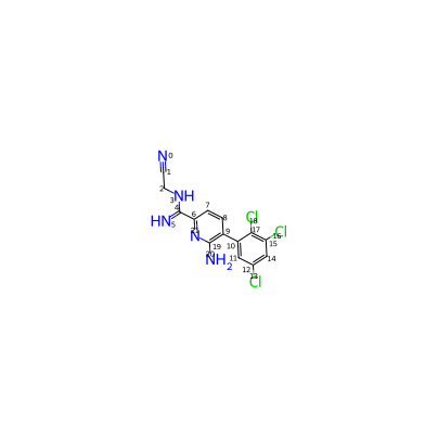 N#CCNC(=N)c1ccc(-c2cc(Cl)cc(Cl)c2Cl)c(N)n1